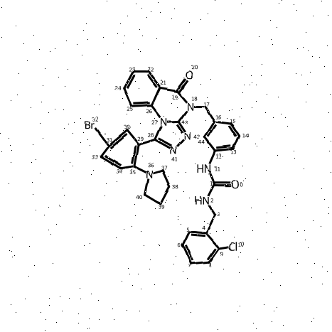 O=C(NCc1ccccc1Cl)Nc1cccc(Cn2c(=O)c3ccccc3n3c(-c4cc(Br)ccc4N4CCCC4)nnc23)c1